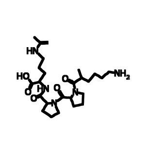 C=C(C)NCCCC(NC(=O)C1CCCN1C(=O)C1CCCN1C(=O)C(C)CCCCN)C(=O)O